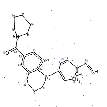 C=C(/C=C\C(=C/C)N1CCOc2cc(C(=O)N3CCCCC3)cnc21)N=N